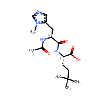 CC(=O)N[C@@H](Cc1cncn1C)C(=O)N[C@@H](CCC(C)(C)C)C(=O)O